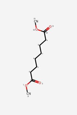 N#COC(=O)CCCCCCC(=O)OC#N